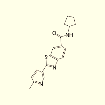 Cc1ccc(-c2nc3ccc(C(=O)NC4CCCC4)cc3s2)cn1